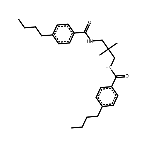 CCCCc1ccc(C(=O)NCC(C)(C)CNC(=O)c2ccc(CCCC)cc2)cc1